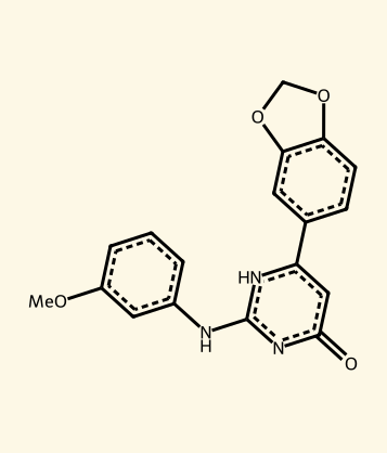 COc1cccc(Nc2nc(=O)cc(-c3ccc4c(c3)OCO4)[nH]2)c1